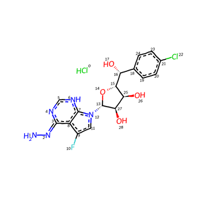 Cl.N/N=c1\nc[nH]c2c1c(F)cn2[C@@H]1O[C@H]([C@H](O)c2ccc(Cl)cc2)[C@@H](O)[C@H]1O